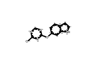 Clc1ncnc(Oc2ccc3cc[nH]c3c2)n1